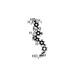 Cc1c(NC(=O)c2ccc(C(C)(C)O)cc2F)cc(F)cc1-c1ncnc2[nH]c(-c3ccc(CN4CCN(CCNC(=O)O)CC4)cc3)cc12